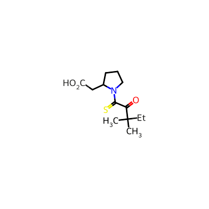 CCC(C)(C)C(=O)C(=S)N1CCCC1CC(=O)O